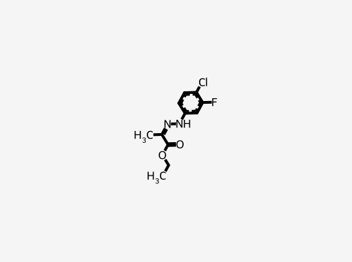 CCOC(=O)C(C)=NNc1ccc(Cl)c(F)c1